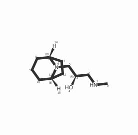 CNC[C@@H](O)CN1[C@@H]2C[CH]C[C@H]1CC2